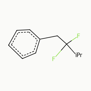 CC(C)C(F)(F)Cc1ccccc1